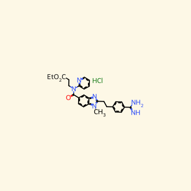 CCOC(=O)CCN(C(=O)c1ccc2c(c1)nc(CCc1ccc(C(=N)N)cc1)n2C)c1ccccn1.Cl